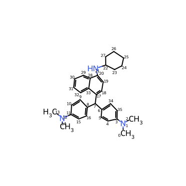 CN(C)c1ccc(C(c2ccc(N(C)C)cc2)c2ccc(NC3CCCCC3)c3ccccc23)cc1